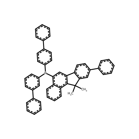 CC1(C)c2cc(-c3ccccc3)ccc2-c2cc(N(c3ccc(-c4ccccc4)cc3)c3cccc(-c4ccccc4)c3)c3ccccc3c21